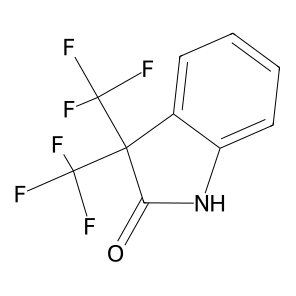 O=C1Nc2ccccc2C1(C(F)(F)F)C(F)(F)F